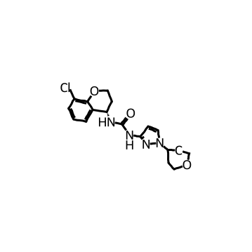 O=C(Nc1ccn(C2CCOCC2)n1)N[C@H]1CCOc2c(Cl)cccc21